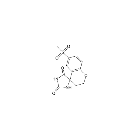 CS(=O)(=O)c1ccc2c(c1)C1(CCO2)NC(=O)NC1=O